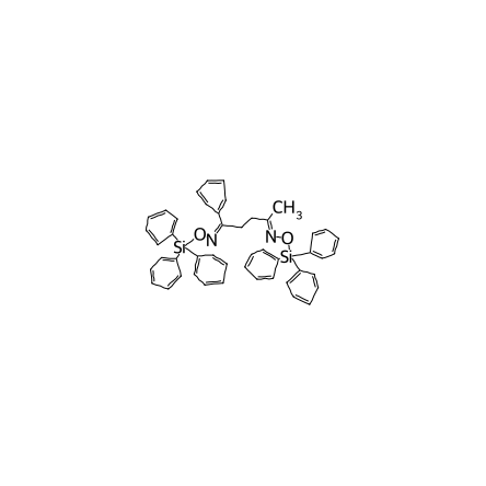 CC(CCC(=NO[Si](c1ccccc1)(c1ccccc1)c1ccccc1)c1ccccc1)=NO[Si](c1ccccc1)(c1ccccc1)c1ccccc1